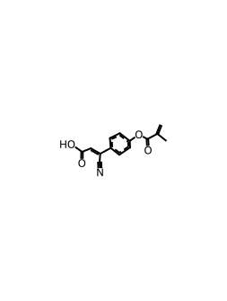 C=C(C)C(=O)Oc1ccc(C(C#N)=CC(=O)O)cc1